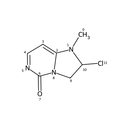 CN1c2ccnc(=O)n2CC1Cl